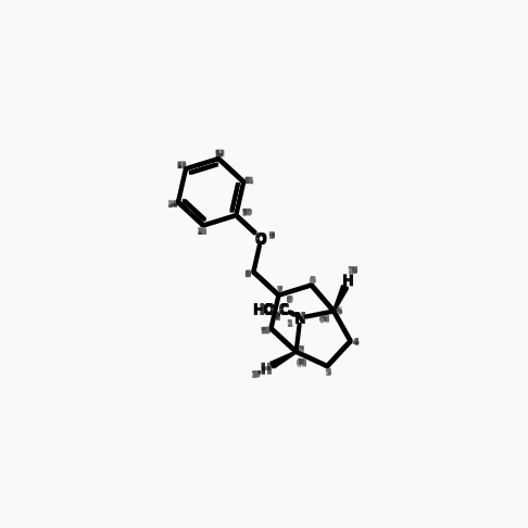 O=C(O)N1[C@@H]2CC[C@H]1CC(COc1ccccc1)C2